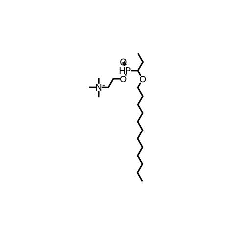 CCCCCCCCCCCCOC(CC)[PH](=O)OCC[N+](C)(C)C